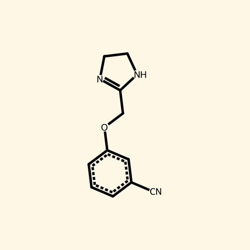 N#Cc1cccc(OCC2=NCCN2)c1